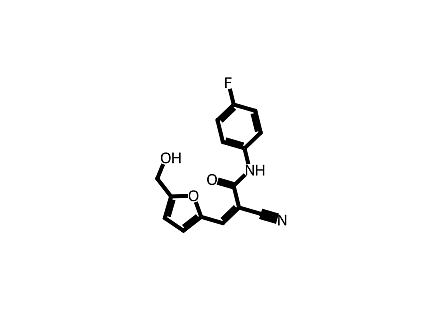 N#C/C(=C/c1ccc(CO)o1)C(=O)Nc1ccc(F)cc1